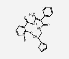 COc1c(F)cccc1C(=O)N/C(C)=C(\C(=O)NCCc1cccs1)c1ccccc1